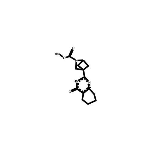 CC(C)(C)OC(=O)N1CC2(c3nc4c(c(=O)[nH]3)CCCC4)CC1C2